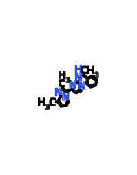 Cc1nc2c(C)cccn2c1-c1ccnc(N[C@@H](C)c2ccccc2)n1